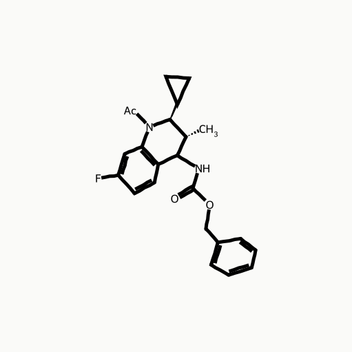 CC(=O)N1c2cc(F)ccc2C(NC(=O)OCc2ccccc2)[C@@H](C)[C@@H]1C1CC1